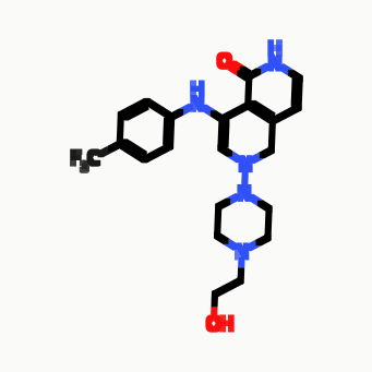 O=c1[nH]ccc2c1C(Nc1ccc(C(F)(F)F)cc1)=CN(N1CCN(CCO)CC1)C2